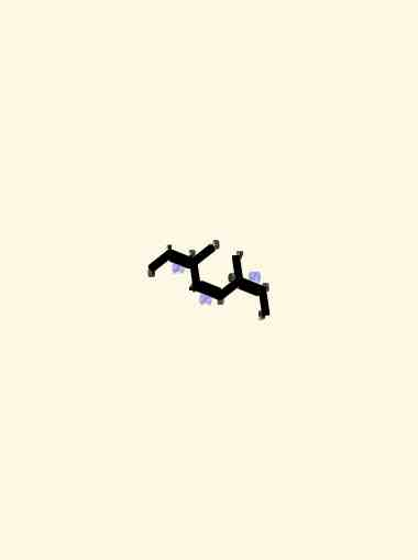 C\C=C(C)/C=C\C(C)=C/C